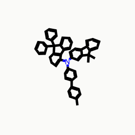 Cc1ccc(-c2ccc(N(C3=CCCC4=C3c3ccccc3C4(c3ccccc3)c3ccccc3)c3ccc4c(c3)C(C)(C)c3ccccc3-4)cc2)cc1